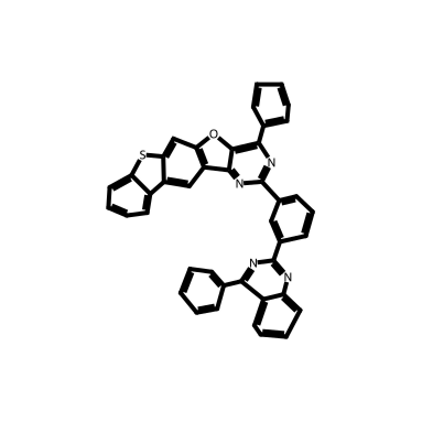 c1ccc(-c2nc(-c3cccc(-c4nc(-c5ccccc5)c5oc6cc7sc8ccccc8c7cc6c5n4)c3)nc3ccccc23)cc1